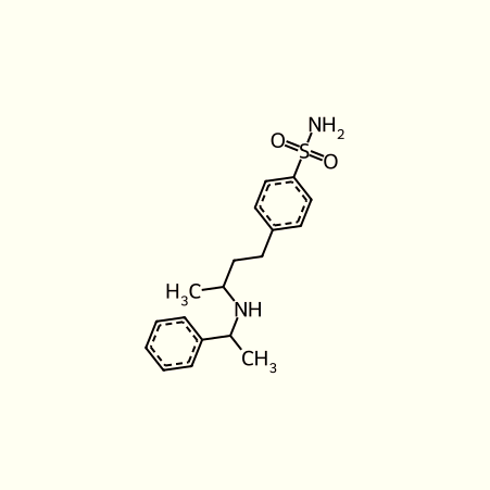 CC(CCc1ccc(S(N)(=O)=O)cc1)NC(C)c1ccccc1